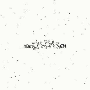 CCCCc1ccc(CCC2CCC(C=CC=CC#N)CC2)cc1